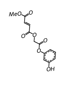 COC(=O)C=CC(=O)OCC(=O)Oc1cccc(O)c1